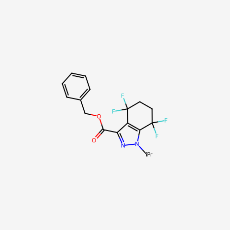 CC(C)n1nc(C(=O)OCc2ccccc2)c2c1C(F)(F)CCC2(F)F